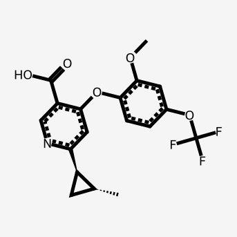 COc1cc(OC(F)(F)F)ccc1Oc1cc([C@@H]2C[C@H]2C)ncc1C(=O)O